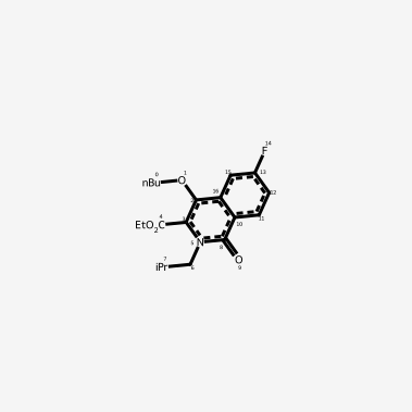 CCCCOc1c(C(=O)OCC)n(CC(C)C)c(=O)c2ccc(F)cc12